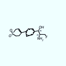 N[C@H](CF)[C@H](O)c1ccc(C2=CCS(=O)(=O)CC2)cc1